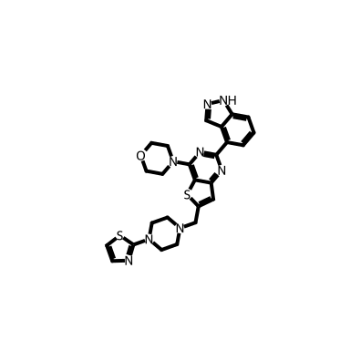 c1cc(-c2nc(N3CCOCC3)c3sc(CN4CCN(c5nccs5)CC4)cc3n2)c2cn[nH]c2c1